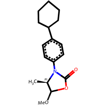 COC1OC(=O)N(c2ccc(C3CCCCC3)cc2)[C@@H]1C